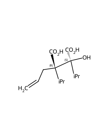 C=CC[C@@](C(=O)O)(C(C)C)[C@](O)(C(=O)O)C(C)C